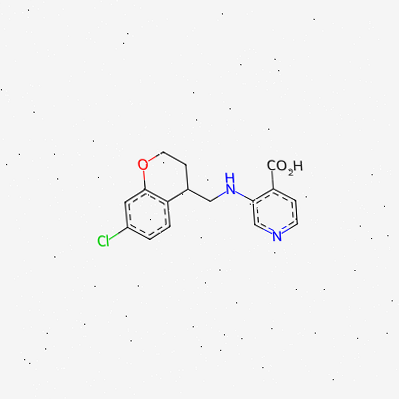 O=C(O)c1ccncc1NCC1CCOc2cc(Cl)ccc21